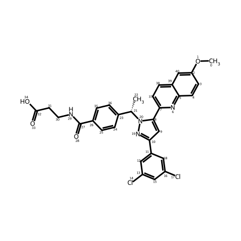 COc1ccc2nc(-c3cc(-c4cc(Cl)cc(Cl)c4)nn3[C@@H](C)c3ccc(C(=O)NCCC(=O)O)cc3)ccc2c1